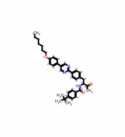 CCCCCCCOc1ccc(-c2cnc(-c3ccc(CC(NC(=O)c4ccc(C(C)(C)C)cc4)C(C)=O)cc3)nc2)cc1